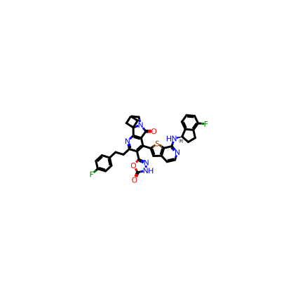 O=C1c2c(nc(CCc3ccc(F)cc3)c(-c3n[nH]c(=O)o3)c2-c2cc3ccnc(N[C@@H]4CCc5c(F)cccc54)c3s2)C23CC(CN12)C3